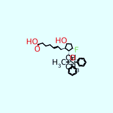 CC(C)(C)[Si](OC[C@@H]1[C@@H](CC=CCCCC(=O)O)[C@@H](O)C[C@@H]1F)(c1ccccc1)c1ccccc1